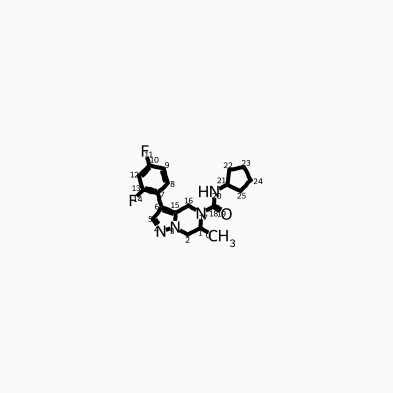 CC1Cn2ncc(-c3ccc(F)cc3F)c2CN1C(=O)NC1CCCC1